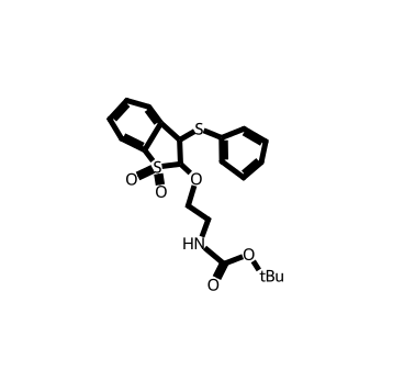 CC(C)(C)OC(=O)NCCOC1C(Sc2ccccc2)c2ccccc2S1(=O)=O